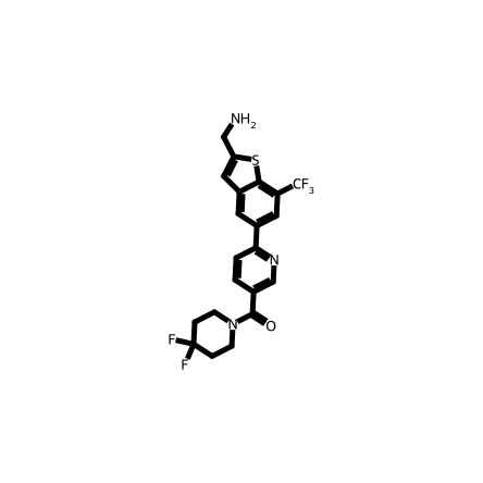 NCc1cc2cc(-c3ccc(C(=O)N4CCC(F)(F)CC4)cn3)cc(C(F)(F)F)c2s1